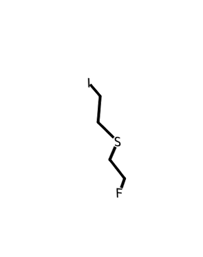 FCCSCCI